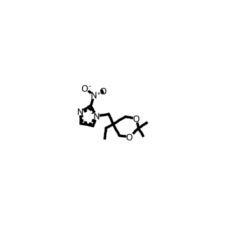 CCC1(Cn2ccnc2[N+](=O)[O-])COC(C)(C)OC1